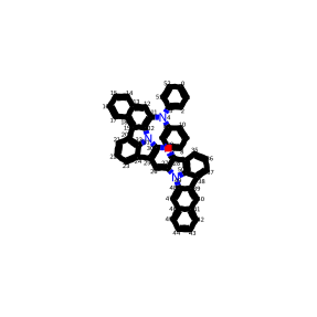 c1ccc(N(c2ccccc2)c2cc3ccccc3c3c4cccc5c6cc7c(nc6n(c23)c54)c2cccc3c4cc5ccccc5cc4n7c32)cc1